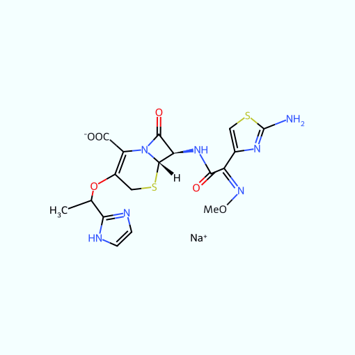 CO/N=C(\C(=O)N[C@@H]1C(=O)N2C(C(=O)[O-])=C(OC(C)c3ncc[nH]3)CS[C@@H]12)c1csc(N)n1.[Na+]